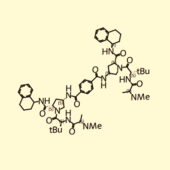 CN[C@@H](C)C(=O)N[C@H](C(=O)N1C[C@@H](NC(=O)c2ccc(C(=O)N[C@H]3C[C@@H](C(=O)N[C@@H]4CCCc5ccccc54)N(C(=O)[C@@H](NC(=O)[C@H](C)NC)C(C)(C)C)C3)cc2)C[C@H]1C(=O)NC1CCCc2ccccc21)C(C)(C)C